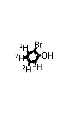 [2H]c1c([2H])c([2H])c(Br)c(O)c1[2H]